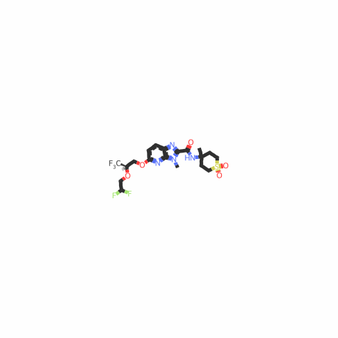 Cn1c(C(=O)NC2(C)CCS(=O)(=O)CC2)nc2ccc(OC[C@@H](OCC(F)F)C(F)(F)F)nc21